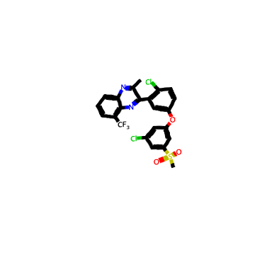 Cc1nc2cccc(C(F)(F)F)c2nc1-c1cc(Oc2cc(Cl)cc(S(C)(=O)=O)c2)ccc1Cl